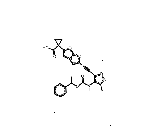 Cc1noc(C#Cc2cc3cc(C4(C(=O)O)CC4)oc3o2)c1NC(=O)OC(C)c1ccccc1